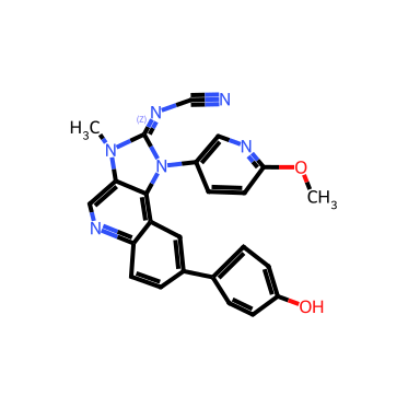 COc1ccc(-n2/c(=N\C#N)n(C)c3cnc4ccc(-c5ccc(O)cc5)cc4c32)cn1